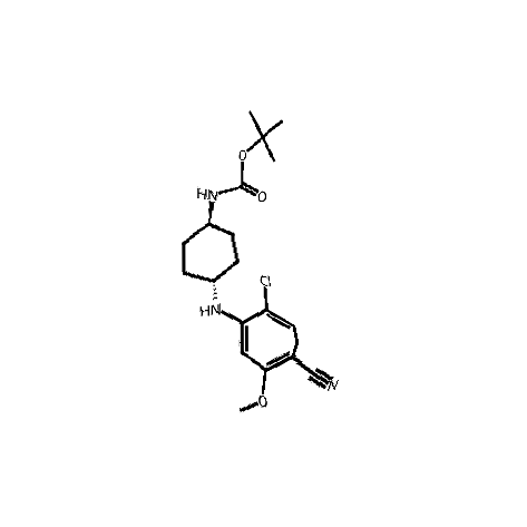 COc1cc(N[C@H]2CC[C@H](NC(=O)OC(C)(C)C)CC2)c(Cl)cc1C#N